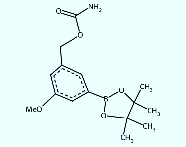 COc1cc(COC(N)=O)cc(B2OC(C)(C)C(C)(C)O2)c1